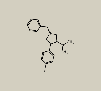 CN(C)C1CN(Cc2ccccc2)CC1c1ccc(Br)cc1